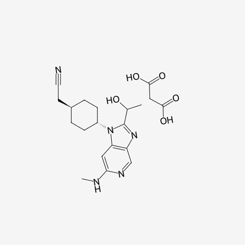 CNc1cc2c(cn1)nc(C(C)O)n2[C@H]1CC[C@H](CC#N)CC1.O=C(O)CC(=O)O